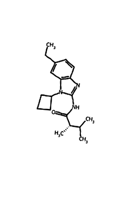 CCc1ccc2nc(NC(=O)[C@@H](C)C(C)C)n(C3CCC3)c2c1